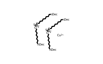 CCCCCCCCCCCCCCCCCCOP(=S)([S-])OCCCCCCCCCCCCCCCCCC.CCCCCCCCCCCCCCCCCCOP(=S)([S-])OCCCCCCCCCCCCCCCCCC.[Cu+2]